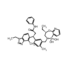 CC[C@@H]1CN(Cc2cc([C@H](CC(=O)Nc3ccccc3)c3ccc4c(nnn4CC)c3C)ccc2C)S(O)(O)c2cccnc2O1